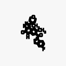 Cc1cc2c(cc1C(=O)N1CCc3cc(F)ccc31)[nH]c(=O)c1nnc(C3(C)CCOCC3)n12